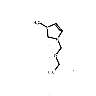 CCOCN1C=CN(C)C1